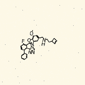 COc1cc(CNCCC2CCC2)cc2nc(-c3c(F)ccc(-c4ccccc4)c3-c3nncn3C)oc12